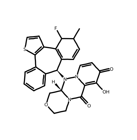 CC1C=CC2=C(c3ccsc3-c3ccccc3[C@@H]2N2[C@H]3COCCN3C(=O)c3c(O)c(=O)ccn32)C1F